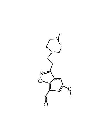 COc1cc(C=O)c2onc(CCC3CCN(C)CC3)c2c1